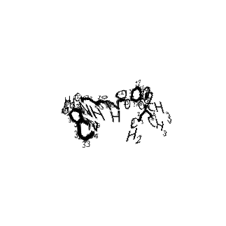 C=CCC(CC)C1(C)OOC2(CCCC(OC(=O)NCCCC(C)Nc3cc(OC)cc4cccnc34)C2)O1